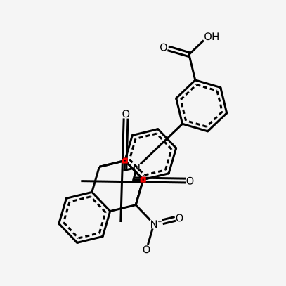 O=C(O)c1cccc(N2C(=O)C3C4c5ccccc5C([N+](=O)[O-])(c5ccccc54)C3C2=O)c1